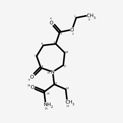 CCOC(=O)C1CCC(=O)N(C(CC)C(N)=O)CC1